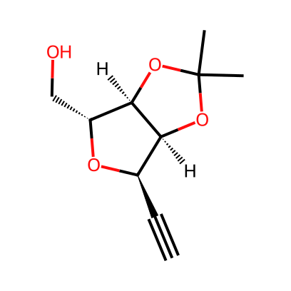 C#C[C@H]1O[C@H](CO)[C@H]2OC(C)(C)O[C@H]21